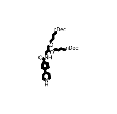 CCCCCCCCCCCCCCOCC(CNC(=O)c1ccc(C2CCNCC2)cc1)OCCCCCCCCCCCCCC